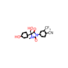 CN1C(=O)N(c2ccc(C#N)c(C(F)(F)F)c2)C(=O)[C@@]1(CO)c1ccc(O)cc1